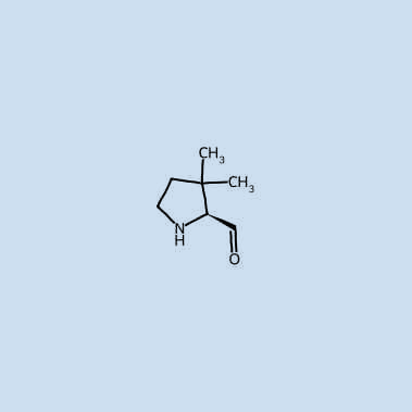 CC1(C)CCN[C@@H]1C=O